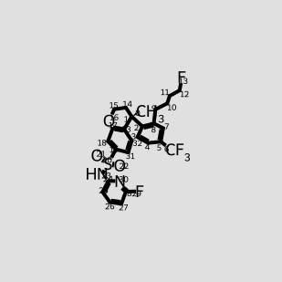 C[C@@]1(c2ccc(C(F)(F)F)cc2CCCCF)CCOc2cc(S(=O)(=O)Nc3cccc(F)n3)ccc21